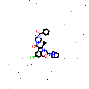 Cc1cc(Cl)cc2c(C(=O)N3CCN(C(=O)c4ccccc4)CC3)c(C3CC3)n(CC(=O)N3CC4CCC(C3)N4)c12